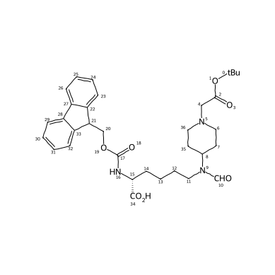 CC(C)(C)OC(=O)CN1CCC(N(C=O)CCCC[C@@H](NC(=O)OCC2c3ccccc3-c3ccccc32)C(=O)O)CC1